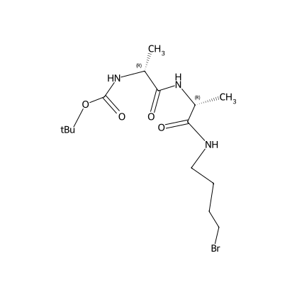 C[C@@H](NC(=O)OC(C)(C)C)C(=O)N[C@H](C)C(=O)NCCCCBr